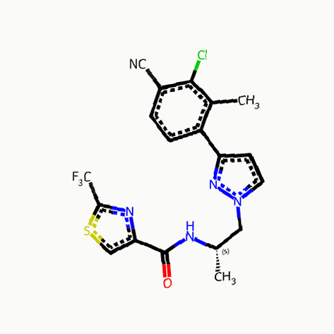 Cc1c(-c2ccn(C[C@H](C)NC(=O)c3csc(C(F)(F)F)n3)n2)ccc(C#N)c1Cl